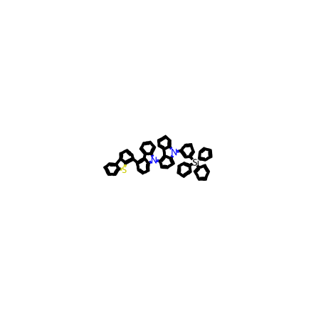 c1ccc([Si](c2ccccc2)(c2ccccc2)c2cccc(-n3c4ccccc4c4c(-n5c6ccccc6c6c(-c7cccc8c7sc7ccccc78)cccc65)cccc43)c2)cc1